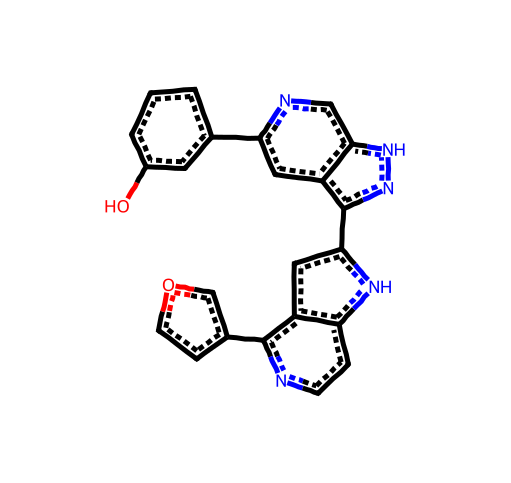 Oc1cccc(-c2cc3c(-c4cc5c(-c6ccoc6)nccc5[nH]4)n[nH]c3cn2)c1